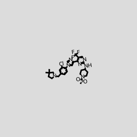 CC1(C)CCN(Cc2ccc(-n3cnc(-c4nc(NC5CCN(S(C)(=O)=O)CC5)ncc4C(F)(F)F)c3)c(Cl)c2)C1